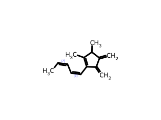 C=C1C(=C)C(C)C(C)=C1/C=C\C=C/C